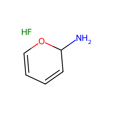 F.NC1C=CC=CO1